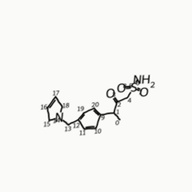 CC(C(=O)CS(N)(=O)=O)c1ccc(CN2CC=CC2)cc1